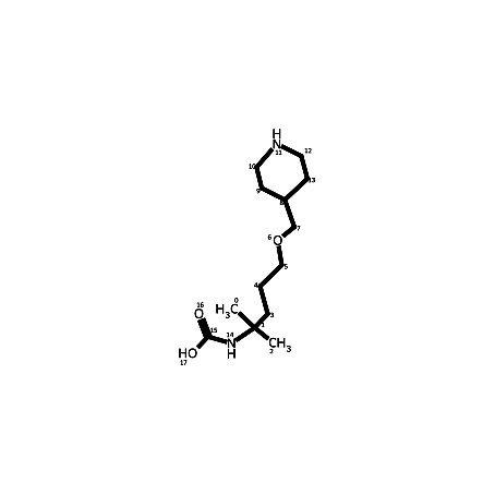 CC(C)(CCCOCC1CCNCC1)NC(=O)O